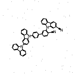 N#Cc1ccc2c3ccccc3n(-c3cc(-c4ccc(-n5c6ccccc6c6cc(-n7c8ccccc8c8ccccc87)ccc65)cc4)ccc3C#N)c2c1